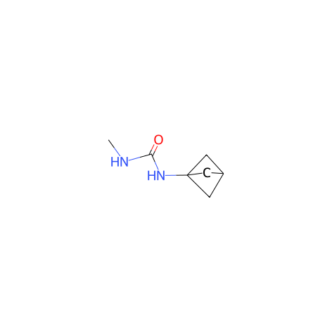 CNC(=O)NC12CC(C1)C2